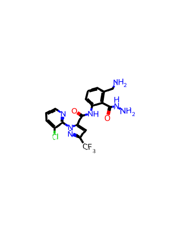 NCc1cccc(NC(=O)c2cc(C(F)(F)F)nn2-c2ncccc2Cl)c1C(=O)NN